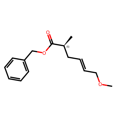 COCC=CC[C@H](C)C(=O)OCc1ccccc1